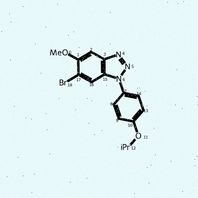 COc1cc2nnn(-c3ccc(OC(C)C)cc3)c2cc1Br